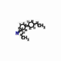 CCC[C@]1(C#N)CCC[C@@H](C2CCC(CC)CC2)C1